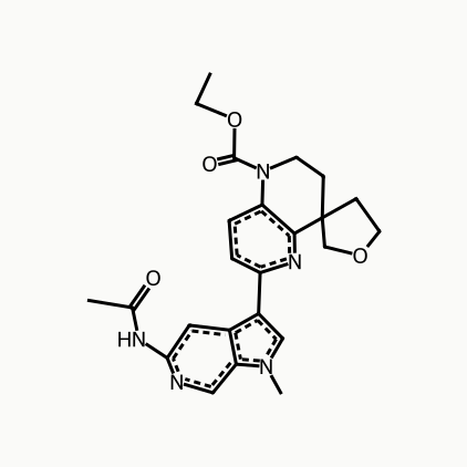 CCOC(=O)N1CCC2(CCOC2)c2nc(-c3cn(C)c4cnc(NC(C)=O)cc34)ccc21